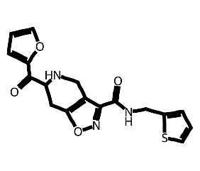 O=C(NCc1cccs1)c1noc2c1CNC(C(=O)c1ccco1)C2